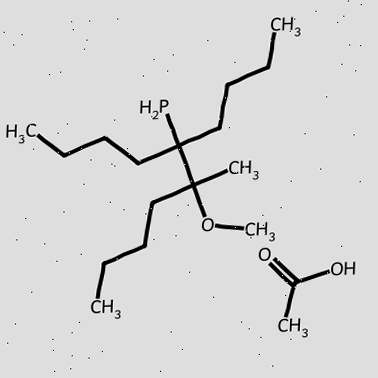 CC(=O)O.CCCCC(P)(CCCC)C(C)(CCCC)OC